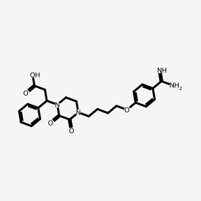 N=C(N)c1ccc(OCCCCN2CCN(C(CC(=O)O)c3ccccc3)C(=O)C2=O)cc1